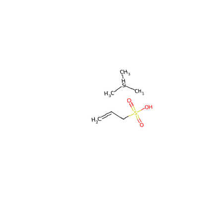 C=CCS(=O)(=O)O.C[SiH](C)C